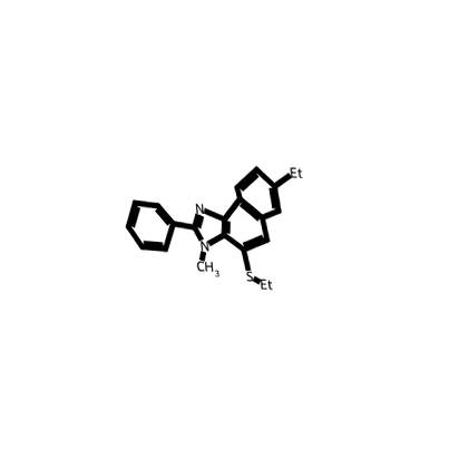 CCSc1cc2cc(CC)ccc2c2nc(-c3ccccc3)n(C)c12